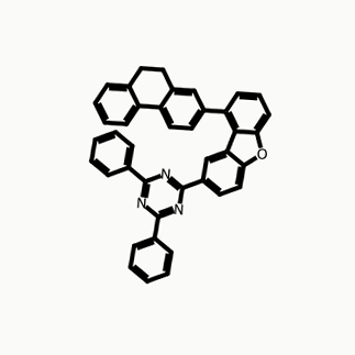 c1ccc(-c2nc(-c3ccccc3)nc(-c3ccc4oc5cccc(-c6ccc7c(c6)CCc6ccccc6-7)c5c4c3)n2)cc1